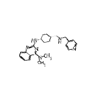 CN(C)c1nc(N[C@H]2CC[C@@H](CNCc3ccncc3)CC2)nc2ccccc12